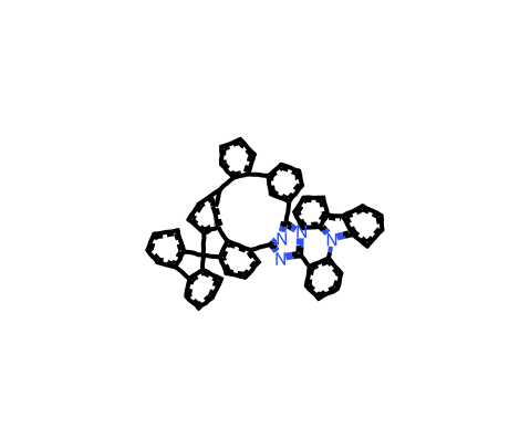 c1cc2cc(c1)-c1ccccc1-c1ccc3c(c1)-c1c(cccc1C31c3ccccc3-c3ccccc31)-c1nc-2nc(-c2ccccc2-n2c3ccccc3c3ccccc32)n1